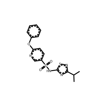 CC(C)c1nsc(NS(=O)(=O)c2ccc(Oc3ccccc3)nc2)n1